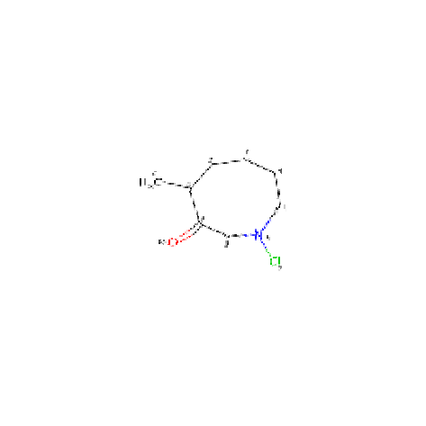 CC1CCCCN(Cl)CC1=O